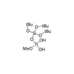 C[O][Ti]([OH])([OH])[O][Si](OC(C)(C)C)(OC(C)(C)C)OC(C)(C)C